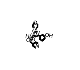 O=S(=O)(Cc1ccncc1)Nc1cc(-c2cccc(O)c2)nc(N2CCOCC2)n1